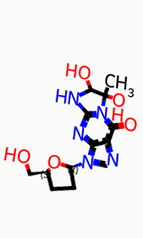 CC1(O)C(O)Nc2nc3c(ncn3[C@H]3CC[C@@H](CO)O3)c(=O)n21